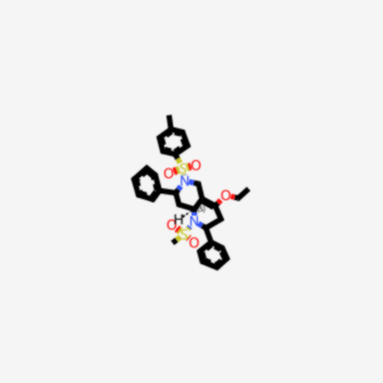 CCOC1=C2CN(S(=O)(=O)c3ccc(C)cc3)C(c3ccccc3)C[C@@H]2N(S(C)(=O)=O)C(c2ccccc2)C1